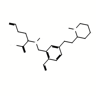 C=CCCC(C(=O)NC)N(C)Cc1cc(CCC2CCCCN2C)ccc1C=C